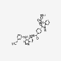 C#Cc1cccc(Nc2ncnc3ccc(NC(=O)c4ccc(C(=O)Nc5ccccc5NC(=O)OC(C)(C)C)cc4)cc23)c1